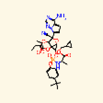 CCC(=O)OC1C(C#N)(c2ccc3c(N)ncnn23)OC2C(OP(=O)(NC(C)C(=O)OCC3CC3)Oc3ccc(C(C)(C)C)cc3)C21OC(=O)CC